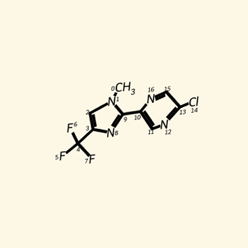 Cn1cc(C(F)(F)F)nc1-c1cnc(Cl)cn1